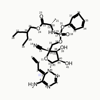 C=C/C=C1/C(N)=NC=NN1[C@@H]1O[C@](C#N)(COP(=O)(N[C@@H](C)C(=O)OCC(CC)CC)Oc2ccccc2)[C@@H](O)[C@H]1O